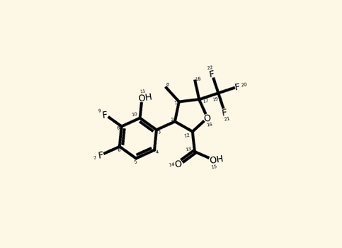 CC1C(c2ccc(F)c(F)c2O)C(C(=O)O)OC1(C)C(F)(F)F